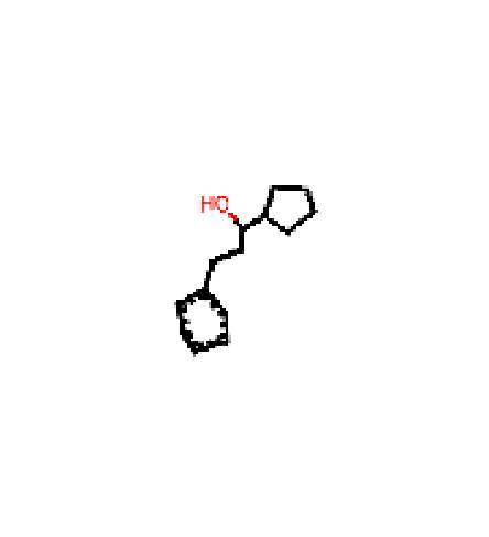 OC(CCc1ccccc1)C1CCCC1